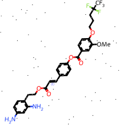 COc1cc(C(=O)Oc2ccc(/C=C/C(=O)OCCc3ccc(N)cc3N)cc2)ccc1OCCCC(F)(F)C(F)(F)F